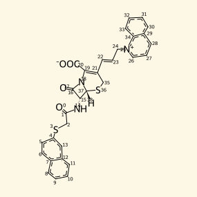 O=C(CSc1ccc2ccccc2c1)N[C@@H]1C(=O)N2C(C(=O)[O-])=C(/C=C/C[n+]3cccc4ccccc43)CS[C@H]12